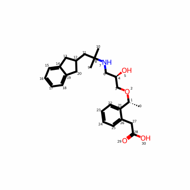 C[C@@H](OC[C@H](O)CNC(C)(C)CC1Cc2ccccc2C1)c1ccccc1CC(=O)O